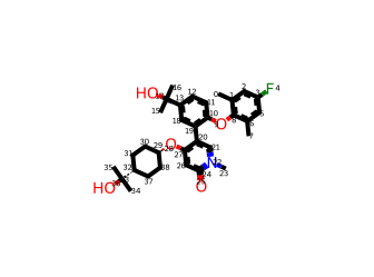 Cc1cc(F)cc(C)c1Oc1ccc(C(C)(C)O)cc1-c1cn(C)c(=O)cc1O[C@H]1CC[C@@H](C(C)(C)O)CC1